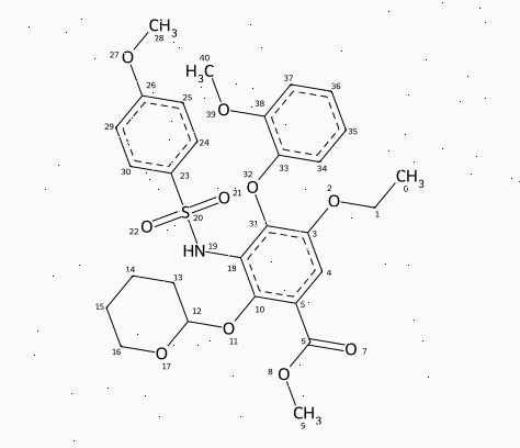 CCOc1cc(C(=O)OC)c(OC2CCCCO2)c(NS(=O)(=O)c2ccc(OC)cc2)c1Oc1ccccc1OC